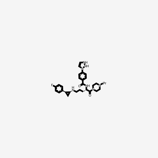 CC(C)N1CCN(C(=O)[C@H](CCCN[C@@H]2C[C@H]2c2ccc(F)cc2)NC(=O)c2ccc(N3C=CNN3)cc2)CC1